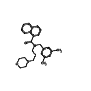 Cc1cc(C)cc(CN(CCCN2CCOCC2)C(=O)c2cccc3ccccc23)c1